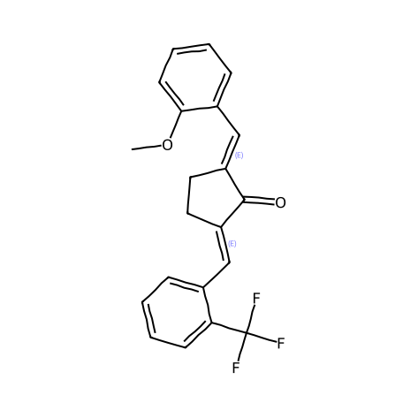 COc1ccccc1/C=C1\CC/C(=C\c2ccccc2C(F)(F)F)C1=O